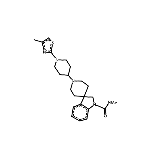 CNC(=O)N1CC2(CCN(C3CCN(c4nc(C)cs4)CC3)CC2)c2ccccc21